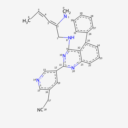 C=N/C(=C\C=C/C)CNc1nc(-c2cncc(CC#N)c2)nc2cccc(-c3ccccc3)c12